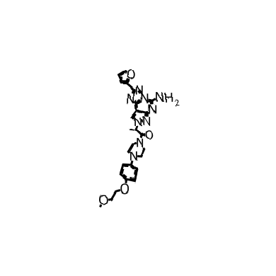 COCCOc1ccc(N2CCN(C(=O)[C@@H](C)n3cc4c(nc(N)n5nc(-c6ccco6)nc45)n3)CC2)cc1